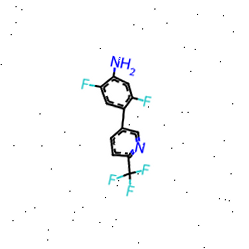 Nc1cc(F)c(-c2ccc(C(F)(F)F)nc2)cc1F